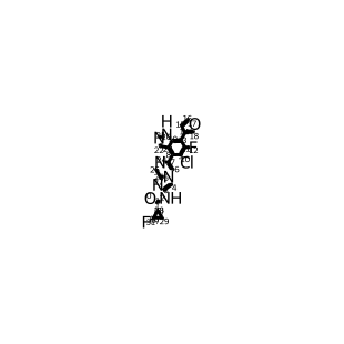 O=C(Nc1cn2cc(-c3c(Cl)c(F)c(-c4ccoc4)c4[nH]ncc34)ncc2n1)[C@@H]1C[C@@H]1F